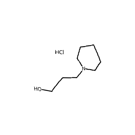 Cl.OCCCN1CCCCC1